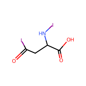 O=C(I)CC(NI)C(=O)O